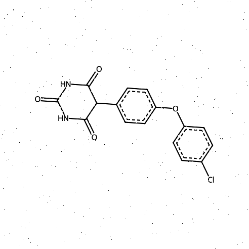 O=C1NC(=O)C(c2ccc(Oc3ccc(Cl)cc3)cc2)C(=O)N1